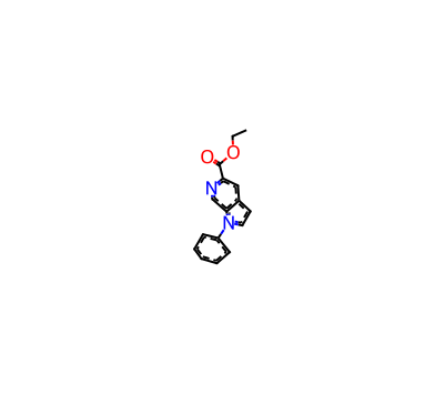 CCOC(=O)c1cc2ccn(-c3ccccc3)c2cn1